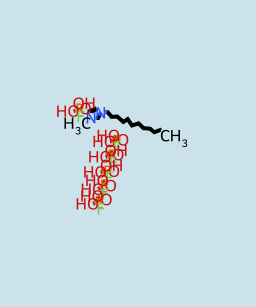 CCCCCCCCCCCCN1C=CN(C)C1.O=P(O)(O)F.O=P(O)(O)F.O=P(O)(O)F.O=P(O)(O)F.O=P(O)(O)F.O=P(O)(O)F